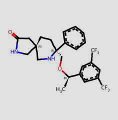 C[C@@H](OC[C@@]1(c2ccccc2)CC[C@]2(CNC(=O)C2)CN1)c1cc(C(F)(F)F)cc(C(F)(F)F)c1